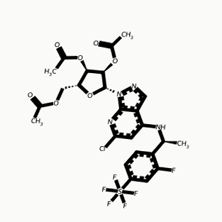 CC(=O)OC[C@H]1O[C@@H](n2ncc3c(N[C@@H](C)c4ccc(S(F)(F)(F)(F)F)cc4F)cc(Cl)nc32)[C@H](OC(C)=O)[C@@H]1OC(C)=O